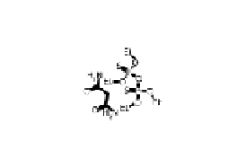 CCOP(=S)(OCC)OP(=S)(OCC)OCC.NC(=O)CC(N)=O